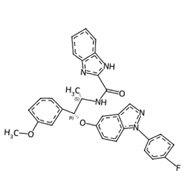 COc1cccc([C@@H](Oc2ccc3c(cnn3-c3ccc(F)cc3)c2)[C@H](C)NC(=O)c2nc3ccccc3[nH]2)c1